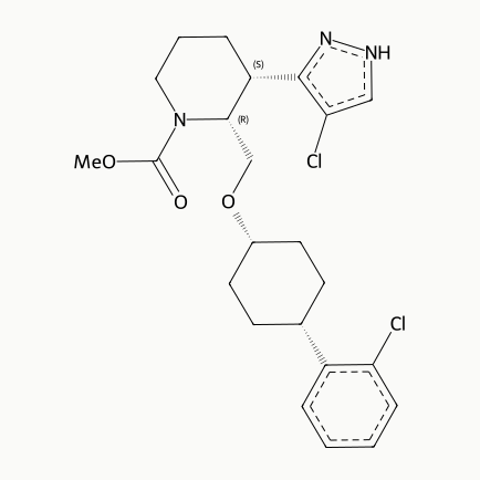 COC(=O)N1CCC[C@H](c2n[nH]cc2Cl)[C@@H]1CO[C@H]1CC[C@@H](c2ccccc2Cl)CC1